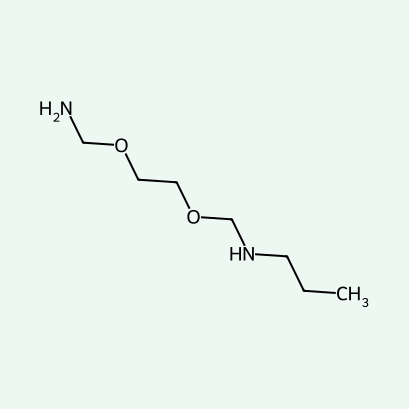 CCCNCOCCOCN